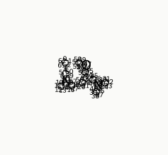 c1ccc(-c2ccc(-n3c4ccccc4c4ccc(-c5ccc(-c6cccc(N(c7ccccc7)c7ccccc7)c6)c(-c6ccc7oc8ccccc8c7c6)c5)cc43)cc2)cc1